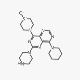 [O-][S+]1CCN(c2nc(N3CCNCC3)nc3c(N4CCCCC4)ncnc23)CC1